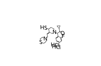 Cl.Cl.O=C(C1CC1)C(c1ccccc1F)N1CCC(S)C(=CCN2CCSCC2)C1